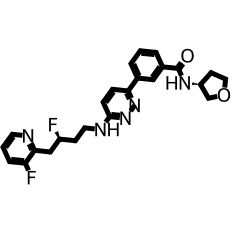 O=C(N[C@@H]1CCOC1)c1cccc(-c2ccc(NCC[C@H](F)Cc3ncccc3F)nn2)c1